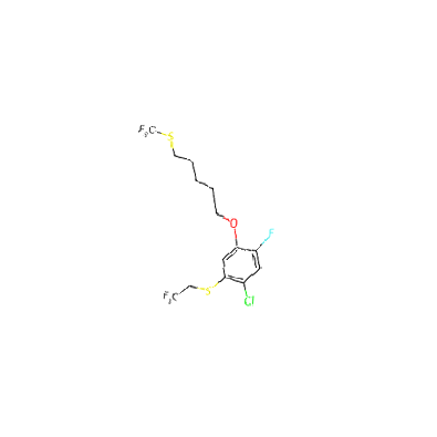 Fc1cc(Cl)c(SCC(F)(F)F)cc1OCCCCCSC(F)(F)F